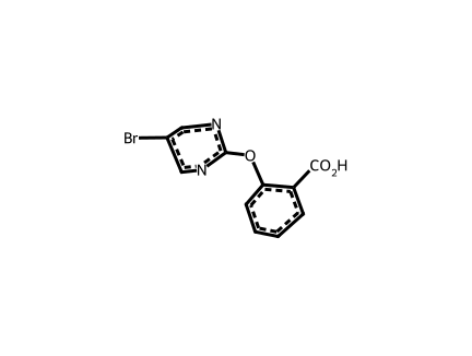 O=C(O)c1ccccc1Oc1ncc(Br)cn1